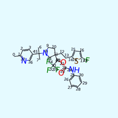 Cc1ccc(C(C)(C)N2CCC(CCc3ccc(F)s3)([C@@H](OC(=O)Nc3ccccc3)C(F)(F)F)C2)cn1